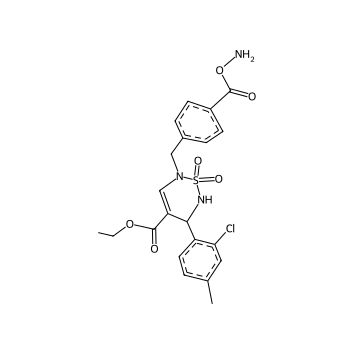 CCOC(=O)C1=CN(Cc2ccc(C(=O)ON)cc2)S(=O)(=O)NC1c1ccc(C)cc1Cl